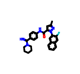 Cc1cc(C(=O)Nc2ccc(C(=N)N3CCCCC3)cc2)n(-c2cc3ccccc3cc2F)n1